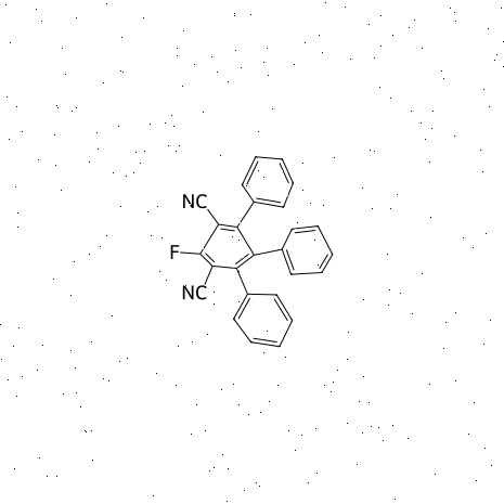 N#Cc1c(F)c(C#N)c(-c2ccccc2)c(-c2ccccc2)c1-c1ccccc1